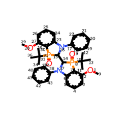 COc1cccc2c1P(=O)(C(C)(C)C)C(C1N(c3ccccc3)c3cccc(OC)c3P1(=O)C(C)(C)C)N2c1ccccc1